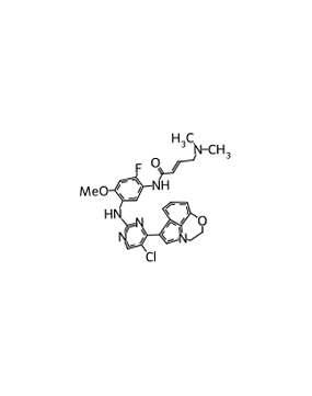 COc1cc(F)c(NC(=O)/C=C/CN(C)C)cc1Nc1ncc(Cl)c(-c2cn3c4c(cccc24)OCC3)n1